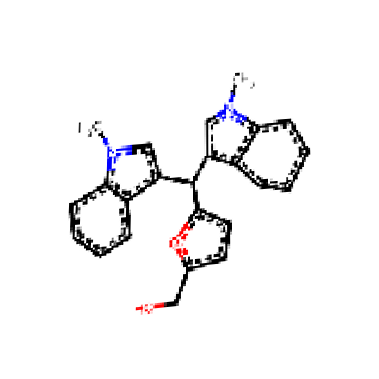 Cn1cc(C(c2ccc(CO)o2)c2cn(C)c3ccccc23)c2ccccc21